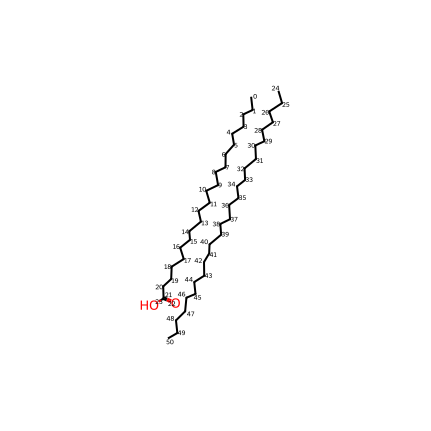 CCCCCCCCCCCCCCCCCCCCCC(=O)O.CCCCCCCCCCCCCCCCCCCCCCCCCCC